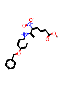 C=C(NC/C=C\C(=C/C)OCc1ccccc1)/C(=C\C=C\C(=O)OC)[N+](=O)[O-]